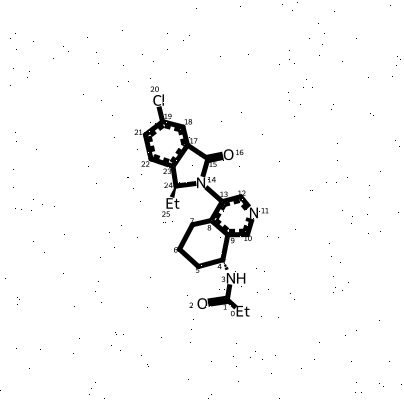 CCC(=O)N[C@@H]1CCCc2c1cncc2N1C(=O)c2cc(Cl)ccc2[C@@H]1CC